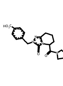 O=C(O)c1ccc(Cn2nc3n(c2=O)C(C(=O)N2CCCC2)CCC3)cc1